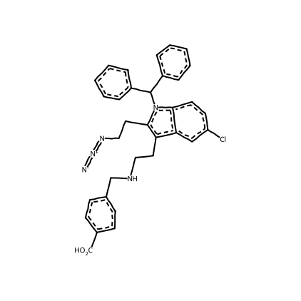 [N-]=[N+]=NCCc1c(CCNCc2ccc(C(=O)O)cc2)c2cc(Cl)ccc2n1C(c1ccccc1)c1ccccc1